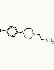 NCCN1CCN(c2ccc(F)cc2)CC1